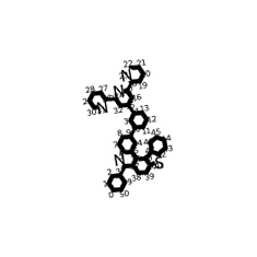 c1ccc(-c2nc3ccc(-c4cccc(-c5cc(-c6ccccn6)nc(-c6ccccn6)c5)c4)cc3c3c2ccc2sc4ccccc4c23)cc1